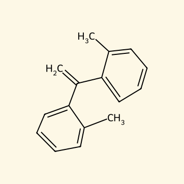 C=C(c1ccccc1C)c1ccccc1C